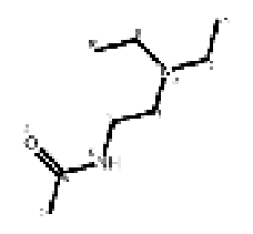 CCN([CH]CNC(C)=O)CC